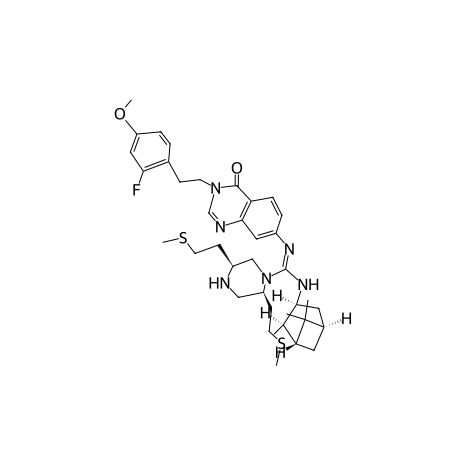 COc1ccc(CCn2cnc3cc(N=C(N[C@H]4C[C@H]5C[C@H]([C@H]4C)C5(C)C)N4C[C@H](CCSC)NC[C@@H]4CCSC)ccc3c2=O)c(F)c1